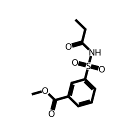 CCC(=O)NS(=O)(=O)c1cccc(C(=O)OC)c1